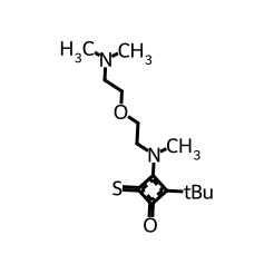 CN(C)CCOCCN(C)c1c(C(C)(C)C)c(=O)c1=S